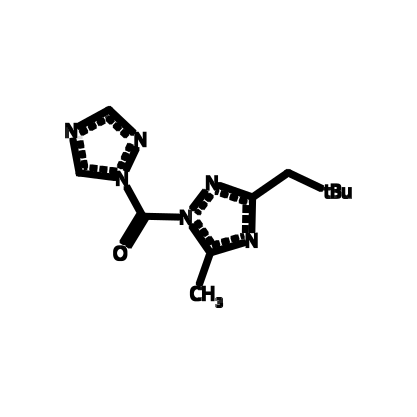 Cc1nc(CC(C)(C)C)nn1C(=O)n1cncn1